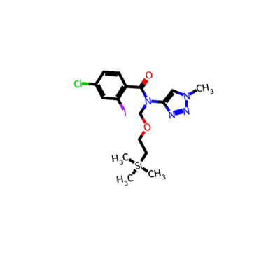 Cn1cc(N(COCC[Si](C)(C)C)C(=O)c2ccc(Cl)cc2I)nn1